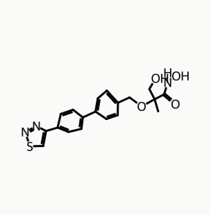 CC(CO)(OCc1ccc(-c2ccc(-c3csnn3)cc2)cc1)C(=O)NO